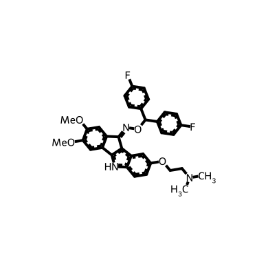 COc1cc2c(cc1OC)-c1[nH]c3ccc(OCCN(C)C)cc3c1C2=NOC(c1ccc(F)cc1)c1ccc(F)cc1